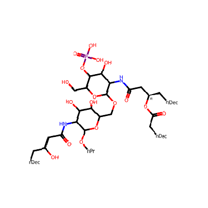 CCCCCCCCCCCC(=O)O[C@H](CCCCCCCCCCC)CC(=O)NC1C(OCC2OC(OCCC)C(NC(=O)CC(O)CCCCCCCCCCC)C(O)C2O)OC(CO)C(OP(=O)(O)O)C1O